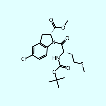 COC(=O)[C@H]1Cc2cc(Cl)ccc2N1C(=O)[C@H](CCSC)NC(=O)OC(C)(C)C